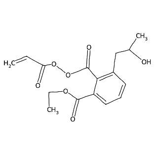 C=CC(=O)OOC(=O)c1c(CC(C)O)cccc1C(=O)OCC